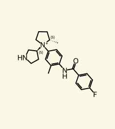 Cc1cc([N+]2([C@H]3CCNC3)CCC[C@@H]2C)ccc1NC(=O)c1ccc(F)cc1